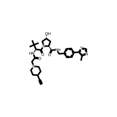 C#CC1CCN(CC(=O)N[C@H](C(=O)N2C[C@H](O)C[C@H]2C(=O)NCc2ccc(-c3scnc3C)cc2)C(C)(C)C)CC1